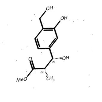 COC(=O)[C@@H](C)[C@@H](O)c1ccc(CO)c(O)c1